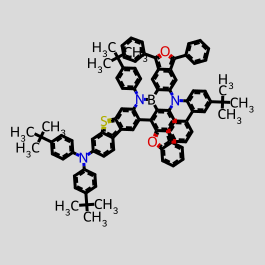 CC(C)(C)c1ccc(N2B3c4cc5c(-c6ccccc6)oc(-c6ccccc6)c5cc4N(c4ccc(C(C)(C)C)cc4-c4ccccc4)c4cc5c(oc6ccccc65)c(c43)-c3cc4c(cc32)sc2cc(N(c3ccc(C(C)(C)C)cc3)c3ccc(C(C)(C)C)cc3)ccc24)cc1